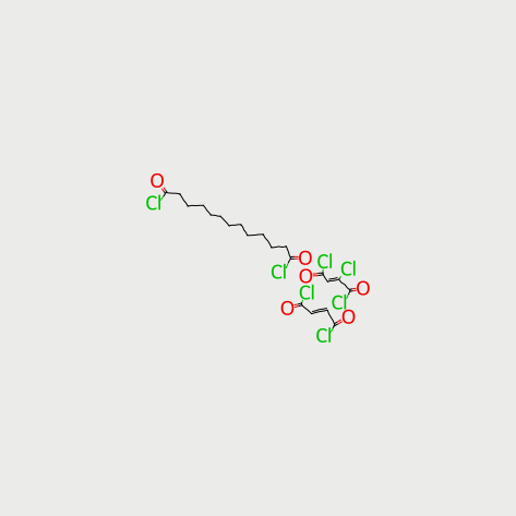 O=C(Cl)C=C(Cl)C(=O)Cl.O=C(Cl)C=CC(=O)Cl.O=C(Cl)CCCCCCCCCCCC(=O)Cl